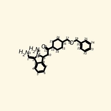 N/C=C1/c2ccccc2C(CC(=O)C2CCC(COCc3ccccc3)CC2)N1N